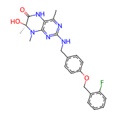 Cc1nc(NCc2ccc(OCc3ccccc3F)cc2)nc2c1NC(=O)[C@](C)(O)N2C